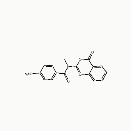 COc1ccc(C(=O)N(C)c2nc3ccccc3c(=O)o2)cc1